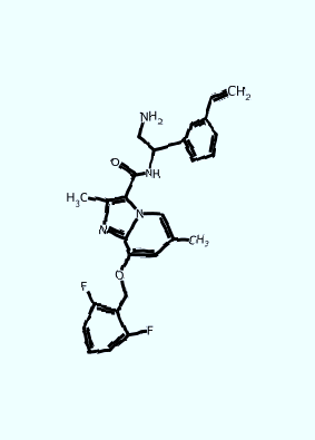 C=Cc1cccc(C(CN)NC(=O)c2c(C)nc3c(OCc4c(F)cccc4F)cc(C)cn23)c1